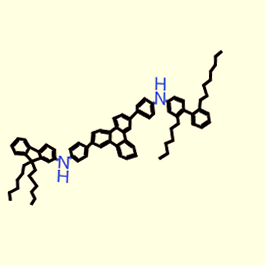 CCCCCCCCc1ccccc1-c1ccc(Nc2ccc(-c3ccc4c5ccc(-c6ccc(Nc7ccc8c(c7)C(CCCCCC)(CCCCCC)c7ccccc7-8)cc6)cc5c5ccccc5c4c3)cc2)cc1CCCCCC